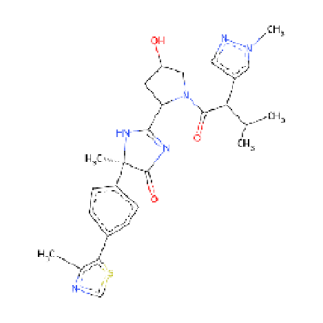 Cc1ncsc1-c1ccc([C@@]2(C)NC(C3CC(O)CN3C(=O)C(c3cnn(C)c3)C(C)C)=NC2=O)cc1